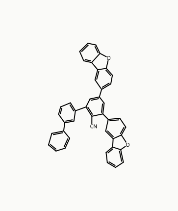 N#Cc1c(-c2cccc(-c3ccccc3)c2)cc(-c2ccc3oc4ccccc4c3c2)cc1-c1ccc2oc3ccccc3c2c1